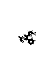 Cc1csc2c(-c3ccccc3)c(-c3ccc(Cl)s3)cn12